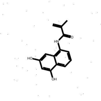 C=C(C)C(=O)Nc1cccc2c(O)cc(O)cc12